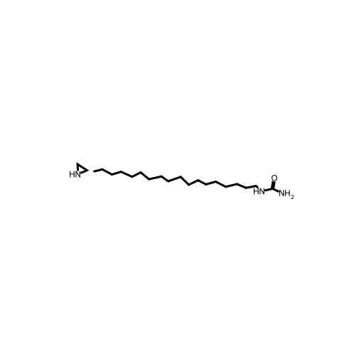 C1CN1.CCCCCCCCCCCCCCCCCCNC(N)=O